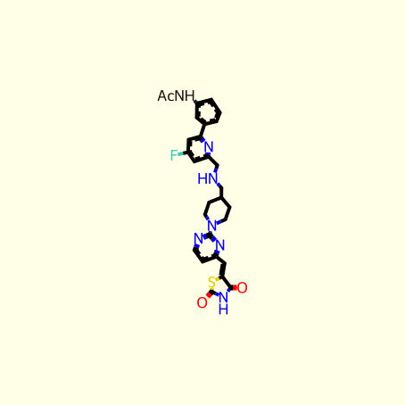 CC(=O)Nc1cccc(-c2cc(F)cc(CNCC3CCN(c4nccc(/C=C5\SC(=O)NC5=O)n4)CC3)n2)c1